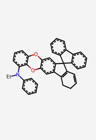 CCN(c1ccccc1)c1cccc2c1Oc1cc3c(cc1O2)C1(C2=C3CCC=C2)c2ccccc2-c2ccccc21